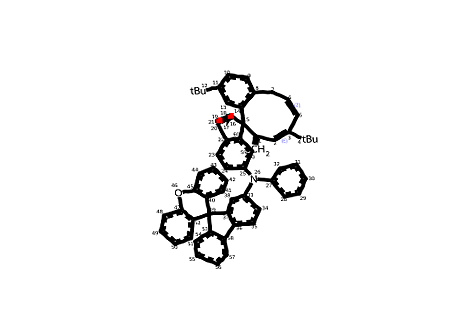 C=C1/C=C(C(C)(C)C)\C=C/Cc2ccc(C(C)(C)C)cc2C12c1ccccc1-c1ccc(N(c3ccccc3)c3ccc4c(c3)C3(c5ccccc5Oc5ccccc53)c3ccccc3-4)cc12